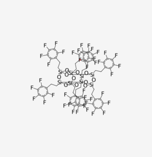 Fc1c(F)c(F)c(CC[Si]23O[Si]4(CCc5c(F)c(F)c(F)c(F)c5F)O[Si]5(CCc6c(F)c(F)c(F)c(F)c6F)O[Si](CCc6c(F)c(F)c(F)c(F)c6F)(O2)O[Si]2(CCc6c(F)c(F)c(F)c(F)c6F)O[Si](CCc6c(F)c(F)c(F)c(F)c6F)(O3)O[Si](CCc3c(F)c(F)c(F)c(F)c3F)(O4)O[Si]2(CCc2c(F)c(F)c(F)c(F)c2F)O5)c(F)c1F